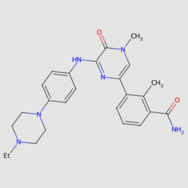 CCN1CCN(c2ccc(Nc3nc(-c4cccc(C(N)=O)c4C)cn(C)c3=O)cc2)CC1